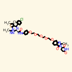 Cc1sc2c(c1C)C(c1ccc(Cl)cc1)=N[C@@H](CC(=O)Nc1ccc(OCCOCCOCCOCCOc3ccc4c(=O)n(C5CCC(=O)NC5=O)c(C)nc4c3)cc1)c1nnc(C)n1-2